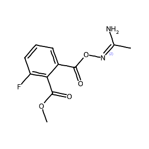 COC(=O)c1c(F)cccc1C(=O)O/N=C(/C)N